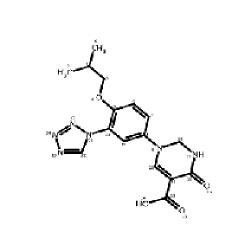 CC(C)COc1ccc(N2C=C(C(=O)O)C(=O)NC2)cc1-n1cnnn1